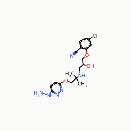 CC(C)(COc1ccc(NN)nn1)NCC(O)COc1cc(Cl)ccc1C#N